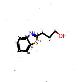 OCCCc1nc2ccccc2s1